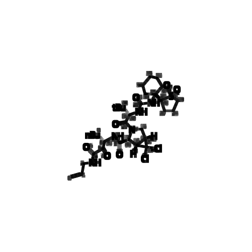 C=CCNC(=O)C(=O)[C@H](CCCC)NC(=O)[C@@H]1[C@@H]2[C@H](CN1C(=O)[C@@H](NC(=O)NC1([C@@H]3CCCS3(=O)=O)CCCCC1)C(C)(C)C)C2(Cl)Cl